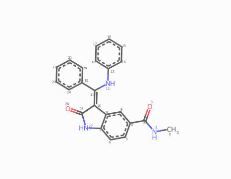 CNC(=O)c1ccc2c(c1)C(=C(Nc1ccccc1)c1ccccc1)C(=O)N2